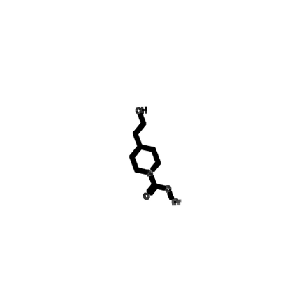 CC(C)OC(=O)N1CCC(CCO)CC1